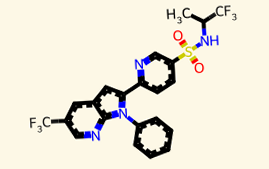 CC(NS(=O)(=O)c1ccc(-c2cc3cc(C(F)(F)F)cnc3n2-c2ccccc2)nc1)C(F)(F)F